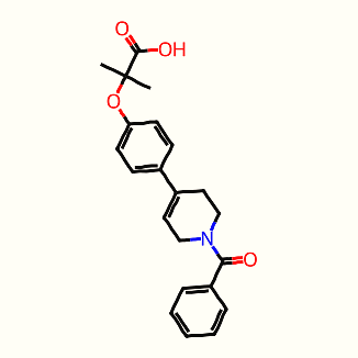 CC(C)(Oc1ccc(C2=CCN(C(=O)c3ccccc3)CC2)cc1)C(=O)O